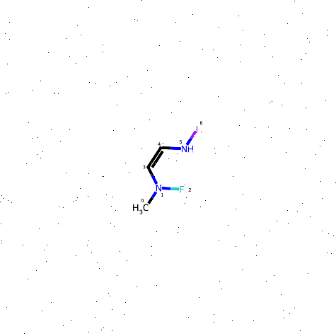 CN(F)/C=C\NI